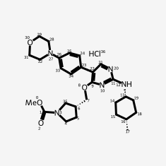 COC(=O)N1CC[C@@H](COc2nc(N[C@H]3CC[C@@H](C)CC3)ncc2-c2ccc(N3CCOCC3)cc2)C1.Cl